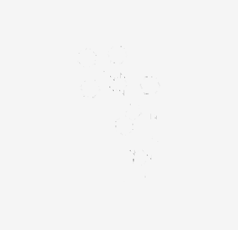 CCCCc1nc(Cl)c(CCl)n1Cc1ccc2oc(-c3ccccc3-c3nnn(C(c4ccccc4)(c4ccccc4)c4ccccc4)n3)c(Br)c2c1